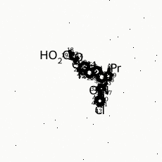 CC(C)C1=C2C3CC[C@@H]4[C@@]5(C)CC[C@H](OC(=O)CC(C)(C)C(=O)O)C(C)(C)[C@@H]5CC[C@@]4(C)[C@]3(C)CC[C@@]2(Cc2cc(=O)n(-c3ccc(Cl)cc3)n2C)CC1